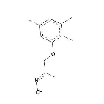 C/C(COc1cc(C)cc(C)c1C)=N\O